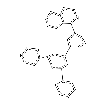 c1cc(-c2cc(-c3ccncc3)cc(-c3ccncc3)c2)cc(-c2nccc3ccccc23)c1